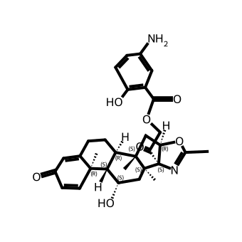 CC1=N[C@]2(C(=O)COC(=O)c3cc(N)ccc3O)[C@@H](C[C@@]3(C)[C@@H]4CCC5=CC(=O)C=C[C@]5(C)[C@H]4[C@@H](O)C[C@@]32C)O1